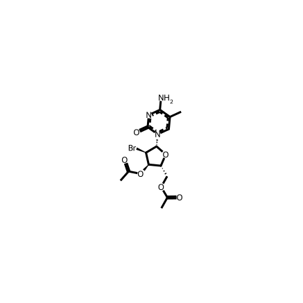 CC(=O)OC[C@H]1O[C@@H](n2cc(C)c(N)nc2=O)[C@H](Br)[C@@H]1OC(C)=O